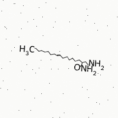 CCCCCCCCC=CCCCCCCC(CCN)C(N)=O